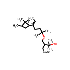 C/C=C(/CCC(C)(C)OCC(COC)C(C)(C)O)C1CC(C)C1(C)C